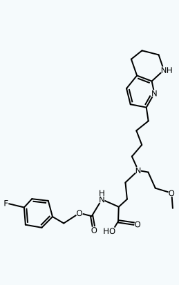 COCCN(CCCCc1ccc2c(n1)NCCC2)CCC(NC(=O)OCc1ccc(F)cc1)C(=O)O